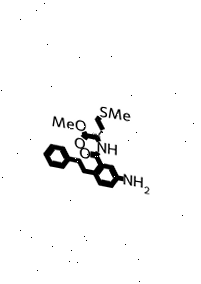 COC(=O)[C@H](CCSC)NC(=O)c1cc(N)ccc1CCc1ccccc1